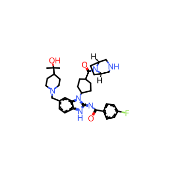 CC(C)(O)C1CCN(Cc2ccc3[nH]/c(=N\C(=O)c4ccc(F)cc4)n(C4CCC(C(=O)N5[C@@H]6CC[C@H]5CNC6)CC4)c3c2)CC1